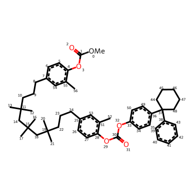 COC(=O)Oc1ccc(CCCC(C)(C)CC(C)(C)CC(C)(C)CCCc2ccc(OC(=O)Oc3ccc(C4(c5ccccc5)CCCCC4)cc3)c(C)c2)cc1C